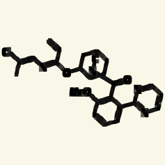 C=C/C(=N\C=C(/C)Cl)OC1CC2CCC1N(C(=O)c1c(OC)cccc1-c1ncccn1)C2